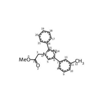 COC(=O)Cn1cc(-c2cccc(C)c2)nc1-c1ccccc1